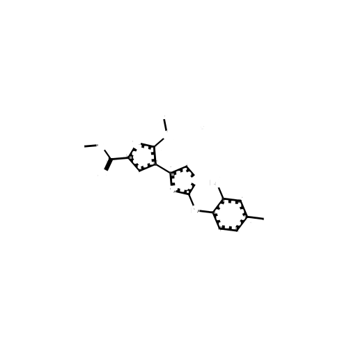 Br.COC(=O)c1cc(-c2csc(Nc3ccc(C)cc3Br)n2)c(SC)s1